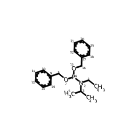 CCN(C(C)C)P(OCc1ccccc1)OCc1ccccc1